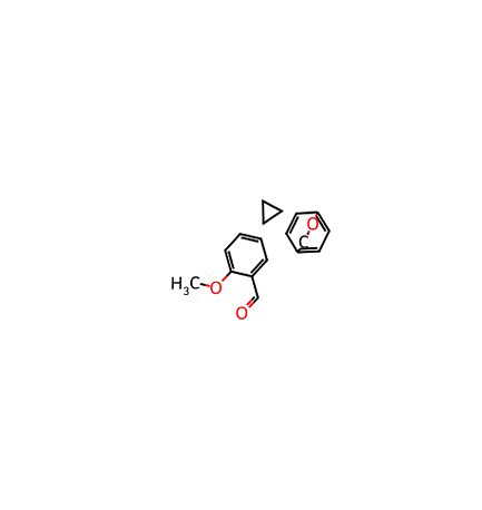 C1CC1.COc1ccccc1C=O.c1cc2ccc1CO2